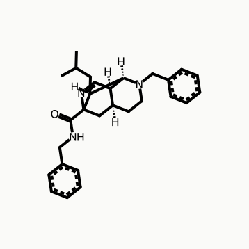 CC(C)C[C@@H]1[C@@H]2[C@@H]3C=NC1(C(=O)NCc1ccccc1)C[C@@H]3CCN2Cc1ccccc1